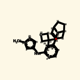 Cn1cc(Nc2nccc(C3=CC4CCC(C3)N4CC3(C)COC3)n2)cn1